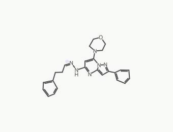 C(/CCc1ccccc1)=N/Nc1cc(N2CCOCC2)n2nc(-c3ccccc3)cc2n1